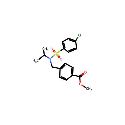 COC(=O)c1ccc(CN(C(C)C)S(=O)(=O)c2ccc(Cl)cc2)cc1